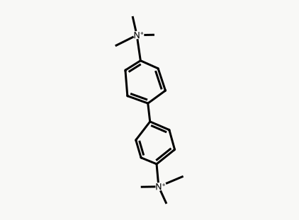 C[N+](C)(C)c1ccc(-c2ccc([N+](C)(C)C)cc2)cc1